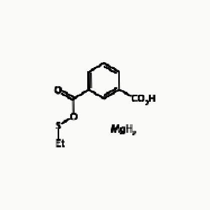 CCSOC(=O)c1cccc(C(=O)O)c1.[MgH2]